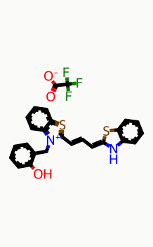 O=C([O-])C(F)(F)F.Oc1ccccc1C[n+]1c(C=CC=C2Nc3ccccc3S2)sc2ccccc21